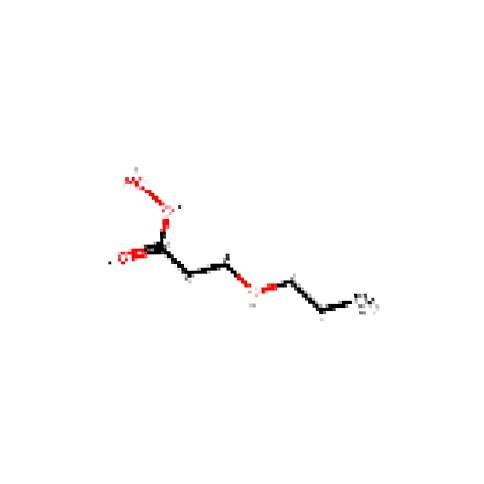 CCCOCCC(=O)OO